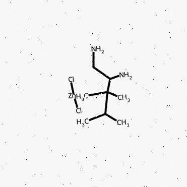 CC(C)C(C)(C)C(N)CN.[Cl][Zn][Cl]